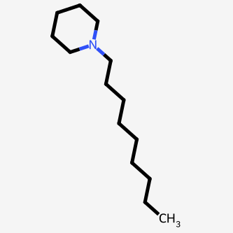 CCCCCCCCCN1CCCCC1